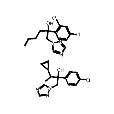 CC(C1CC1)C(O)(Cn1cncn1)c1ccc(Cl)cc1.CCCCC(O)(Cn1cncn1)c1ccc(Cl)cc1Cl